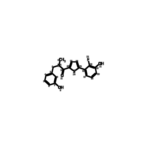 CN(Cc1cccc(O)c1)C(=O)c1ccc(-c2cccc(O)c2F)s1